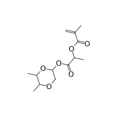 C=C(C)C(=O)OC(C)C(=O)OC1COC(C)C(C)O1